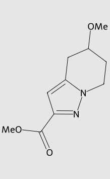 COC(=O)c1cc2n(n1)CCC(OC)C2